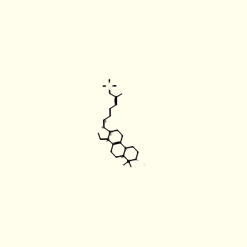 CC(=CCC[C@@H](C)[C@H]1CC[C@H]2C3=C(CC[C@]12C)[C@@]1(C)CC[C@H](O)C(C)(C)[C@@H]1CC3)C[Si](C)(C)C